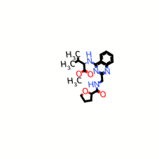 COC(=O)[C@@H](Nc1nc(CNC(=O)C2CCCO2)nc2ccccc12)C(C)C